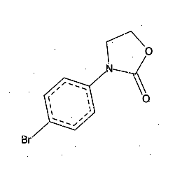 O=C1OCCN1c1ccc(Br)cc1